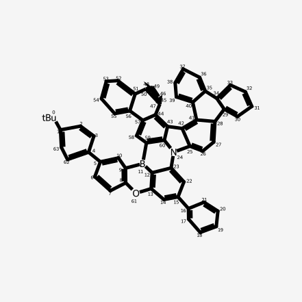 CC(C)(C)c1ccc(-c2ccc3c(c2)B2c4c(cc(-c5ccccc5)cc4-n4c5ccc6c7ccccc7c7ccccc7c6c5c5c6c7ccccc7c7ccccc7c6cc2c54)O3)cc1